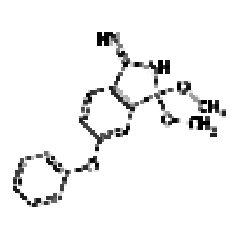 COC1(OC)NC(=N)c2ccc(Oc3ccccc3)cc21